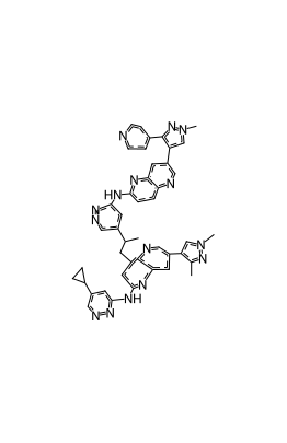 Cc1nn(C)cc1-c1cnc2c(CC(C)c3cnnc(Nc4ccc5ncc(-c6cn(C)nc6-c6ccncc6)cc5n4)c3)cc(Nc3cc(C4CC4)cnn3)nc2c1